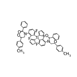 Cc1ccc(C(=O)CN(C(=O)c2ccccc2)c2ccc(F)[c]([Ti]([C]3=CC=CC3)([C]3=CC=CC3)[c]3c(F)ccc(N(CC(=O)c4ccc(C)cc4)C(=O)c4ccccc4)c3F)c2F)cc1